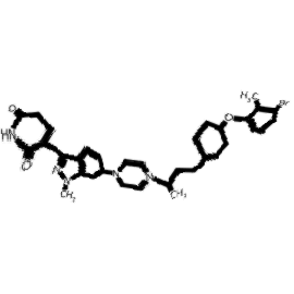 Cc1c(Br)cccc1OC1CCC(CCC(C)N2CCN(c3ccc4c(C5CCC(=O)NC5=O)nn(C)c4c3)CC2)CC1